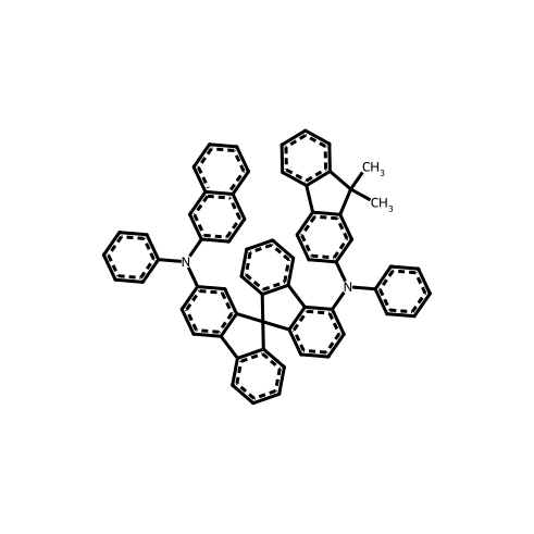 CC1(C)c2ccccc2-c2ccc(N(c3ccccc3)c3cccc4c3-c3ccccc3C43c4ccccc4-c4ccc(N(c5ccccc5)c5ccc6ccccc6c5)cc43)cc21